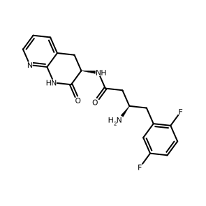 N[C@@H](CC(=O)N[C@@H]1Cc2cccnc2NC1=O)Cc1cc(F)ccc1F